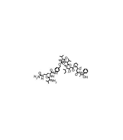 CCC(C)[C@@H](C(CC(=O)N1CCC[C@H]1[C@H](OC)[C@@H](C)C(=O)N[C@H](C)[C@@H](O)c1ccccc1)OC)N(C)C(=O)[C@@H](NC(=O)[C@H](C(C)C)N(C)C(=O)OCc1ccc(NC(=O)[C@H](CCCNC(N)=O)NC(=O)C(N)C(C)C)cc1)C(C)C